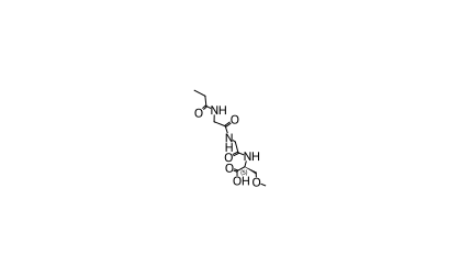 CCC(=O)NCC(=O)NCC(=O)N[C@@H](COC)C(=O)O